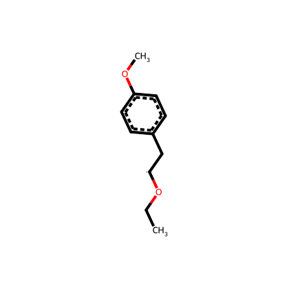 CCO[CH]Cc1ccc(OC)cc1